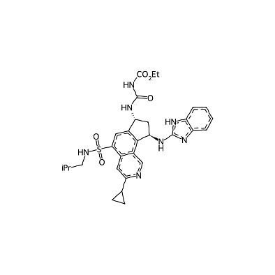 CCOC(=O)NC(=O)N[C@@H]1C[C@@H](Nc2nc3ccccc3[nH]2)c2c1cc(S(=O)(=O)NCC(C)C)c1cc(C3CC3)ncc21